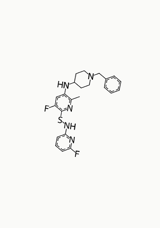 Cc1nc(SNc2cccc(F)n2)c(F)cc1NC1CCN(Cc2ccccc2)CC1